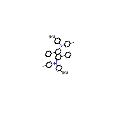 Cc1ccc(N(c2ccc(C(C)(C)C)cc2)c2cc(-c3ccccc3)c3cc(N(c4ccc(C)cc4)c4ccc(C(C)(C)C)cc4)cc(-c4ccccc4)c3c2)cc1